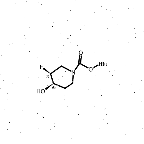 CC(C)(C)OC(=O)N1CC[C@@H](O)[C@@H](F)C1